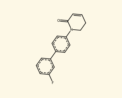 O=C1C=CCCN1c1ccc(-c2cccc(F)c2)cc1